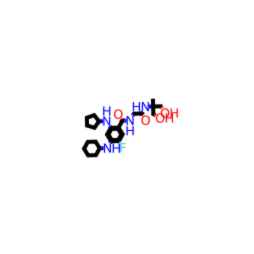 CC(CO)(CO)NC(=O)CNC(=O)c1cc(F)c(NC2CCCCC2)cc1NC1CCCC1